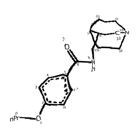 CCCOc1ccc(C(=O)NC2CN3CCC2CC3)cc1